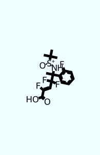 CC(C)(C)[S@@+]([O-])NC(C)(c1ccccc1F)C(F)(F)C=C(F)C(=O)O